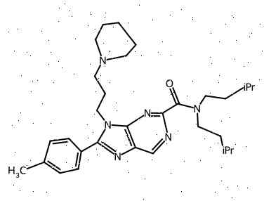 Cc1ccc(-c2nc3cnc(C(=O)N(CCC(C)C)CCC(C)C)nc3n2CCCN2CCCCC2)cc1